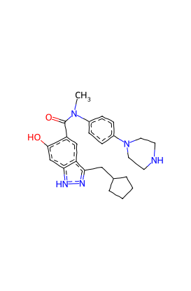 CN(C(=O)c1cc2c(CC3CCCC3)n[nH]c2cc1O)c1ccc(N2CCNCC2)cc1